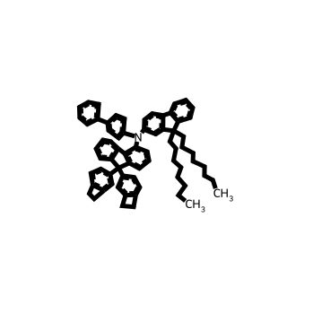 CCCCCCCCC1(CCCCCCCC)c2ccccc2-c2ccc(N(c3ccc(-c4ccccc4)cc3)c3cccc4c3-c3ccccc3C4(c3ccc4c(c3)CC4)c3ccc4c(c3)CC4)cc21